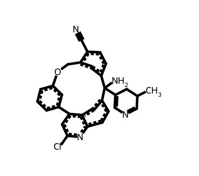 CC1C=NC=C(C2(N)c3ccc(C#N)c(c3)COc3cccc(c3)-c3cc(Cl)nc4ccc2cc34)C1